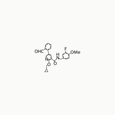 COc1ccc(CNC(=O)c2cc(-c3ccccc3C=O)cnc2OCC2CC2)cc1F